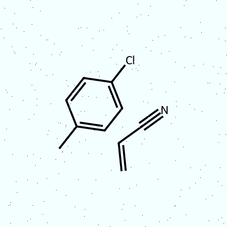 C=CC#N.Cc1ccc(Cl)cc1